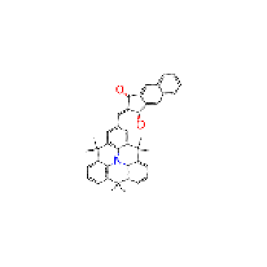 CC1(C)c2cccc3c2N2c4c1cccc4C(C)(C)c1cc(C=C4C(=O)c5cc6ccccc6cc5C4=O)cc(c12)C3(C)C